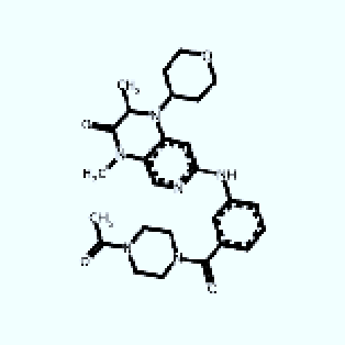 CC(=O)N1CCN(C(=O)c2cccc(Nc3cc4c(cn3)N(C)C(=O)C(C)N4C3CCOCC3)c2)CC1